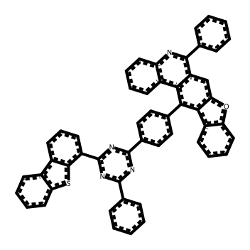 c1ccc(-c2nc(-c3ccc(-c4c5c(cc6c(-c7ccccc7)nc7ccccc7c46)oc4ccccc45)cc3)nc(-c3cccc4c3sc3ccccc34)n2)cc1